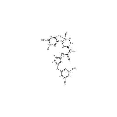 C[C@H](C(=O)Nc1cn(Cc2cc(F)cc(F)c2)cn1)N1CCC(F)(F)[C@H](c2ccc(=O)n(C)c2)C1